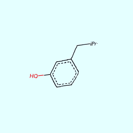 C[C](C)Cc1cccc(O)c1